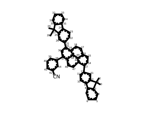 CC1(C)c2ccccc2-c2ccc(-c3ccc4ccc5c(-c6ccc7c(c6)C(C)(C)c6ccccc6-7)cc(-c6cccc(C#N)c6)c6ccc3c4c65)cc21